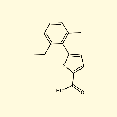 CCc1cccc(C)c1-c1ccc(C(=O)O)s1